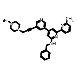 Cc1cccc(-c2cc(-c3cncc(C#CCN4CCN(C(C)C)CC4)c3)cc(NCc3ccccc3)n2)n1